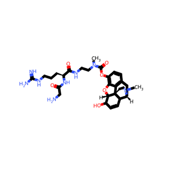 CN(CCNC(=O)[C@H](CCCNC(=N)N)NC(=O)CN)C(=O)Oc1ccc2c3c1O[C@H]1C(O)C=CC4[C@@H](C2)N(C)CC[C@@]341